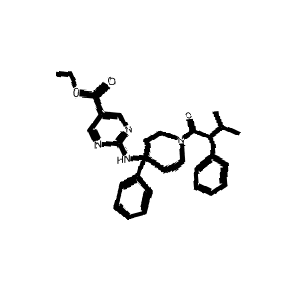 CCOC(=O)c1cnc(NC2(c3ccccc3)CCN(C(=O)C(c3ccccc3)C(C)C)CC2)nc1